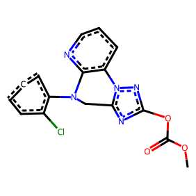 COC(=O)Oc1nc2n(n1)-c1cccnc1N(c1ccccc1Cl)C2